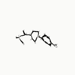 CC(C1CCN(c2ccc(Br)cc2)CC1)N(C)C